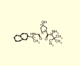 C[C@H](NC(=O)[C@@H]1C[C@@H](O)CN1C(=O)[C@@H](N)C(C)(C)C)c1ccc2ccccc2c1